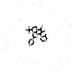 CC1COCCN1c1nc2n(c(=O)c1F)CCC(C(F)(F)F)N2CC(=O)N1CCOCC1